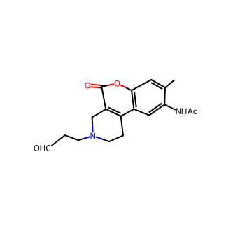 CC(=O)Nc1cc2c3c(c(=O)oc2cc1C)CN(CCC=O)CC3